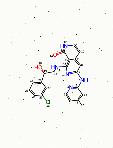 Cc1ccnc(Nc2cc3cc[nH]c(=O)c3c(NC[C@H](O)c3cccc(Cl)c3)n2)c1